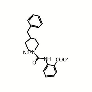 O=C([O-])c1ccccc1NC(=O)N1CCC(Cc2ccccc2)CC1.[Na+]